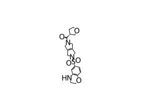 O=C([C@H]1CCOC1)N1CC2=C(C1)CN(S(=O)(=O)c1ccc3c(c1)NCCO3)C2